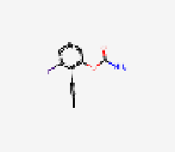 CC#Cc1c(I)cccc1OC(N)=O